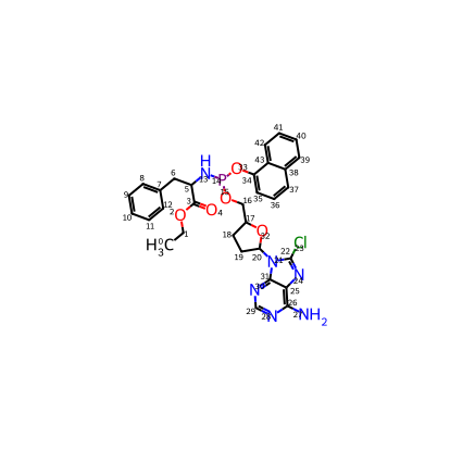 CCOC(=O)C(Cc1ccccc1)NP(OCC1CCC(n2c(Cl)nc3c(N)ncnc32)O1)Oc1cccc2ccccc12